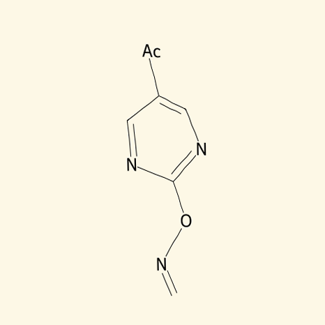 C=NOc1ncc(C(C)=O)cn1